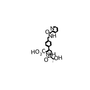 C[C@@H](O)[C@H]1C(=O)N2C(C(=O)O)=C(c3ccc(CNC(=O)c4ccccn4)cc3)C[C@H]12